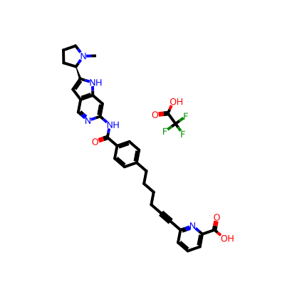 CN1CCC[C@@H]1c1cc2cnc(NC(=O)c3ccc(CCCCC#Cc4cccc(C(=O)O)n4)cc3)cc2[nH]1.O=C(O)C(F)(F)F